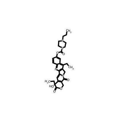 CCCN1CCN(C(=O)Oc2ccc3nc4c(c(CC)c3c2)Cn2c-4cc3c(c2=O)COC(=O)[C@]3(O)CC)CC1